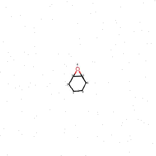 C1CCC2O[C]2C1